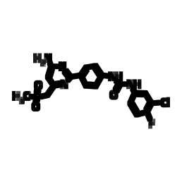 CS(=O)(=O)Cc1cc(N)nc(-c2ccc(NC(=O)Nc3ccc(F)c(Cl)c3)cc2)n1